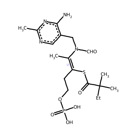 CCC(C)(C)C(=O)S/C(CCOP(=O)(O)O)=C(/C)N(C=O)Cc1cnc(C)nc1N